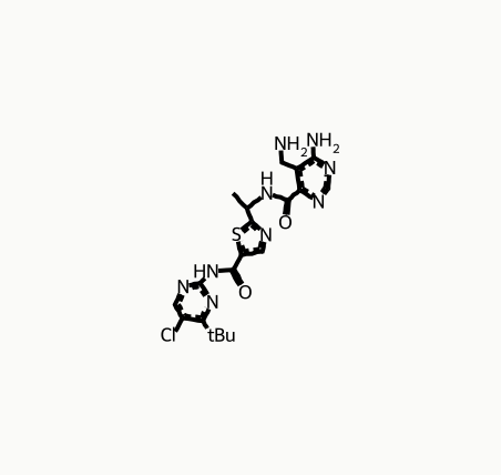 CC(NC(=O)c1ncnc(N)c1CN)c1ncc(C(=O)Nc2ncc(Cl)c(C(C)(C)C)n2)s1